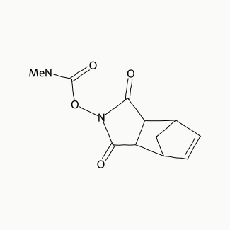 CNC(=O)ON1C(=O)C2C3C=CC(C3)C2C1=O